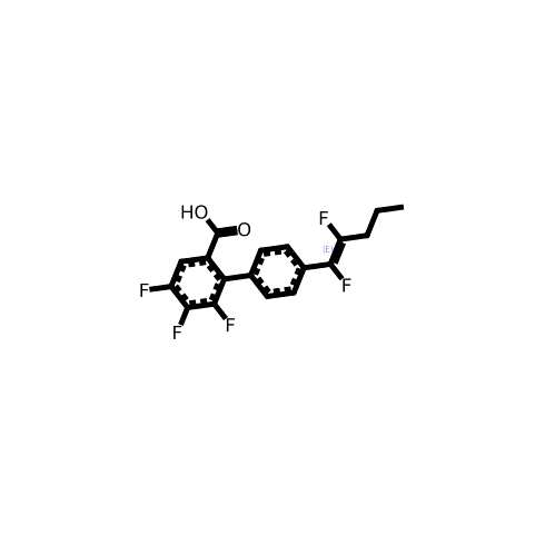 CCC/C(F)=C(\F)c1ccc(-c2c(C(=O)O)cc(F)c(F)c2F)cc1